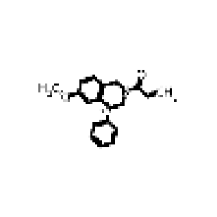 C=CC(=O)N1Cc2ccc(OC)cc2[C@H](c2ccccc2)C1